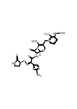 Cc1c(NC=O)ccc[n+]1CC1=C(C(=O)[O-])N2C(=O)[C@@H](NC(=O)/C(=N\O[C@H]3CCNC3=O)c3csc(N)n3)[C@@H]2SC1